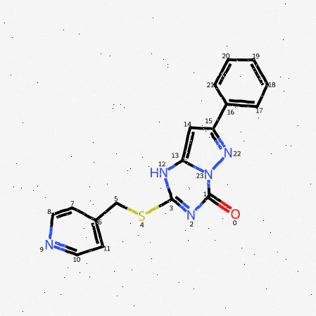 O=c1nc(SCc2ccncc2)[nH]c2cc(-c3ccccc3)nn12